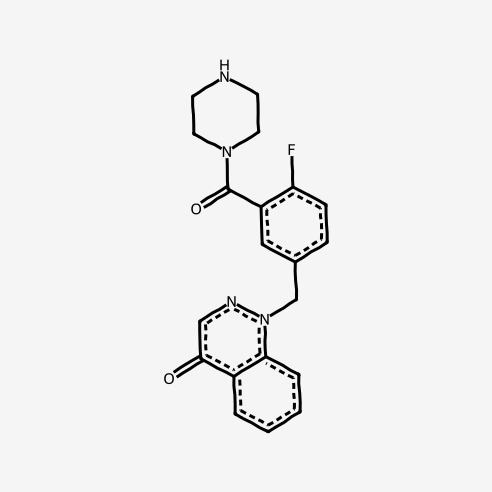 O=C(c1cc(Cn2ncc(=O)c3ccccc32)ccc1F)N1CCNCC1